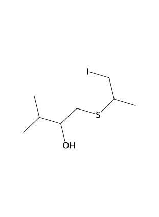 CC(CI)SCC(O)C(C)C